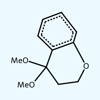 COC1(OC)CCOc2ccccc21